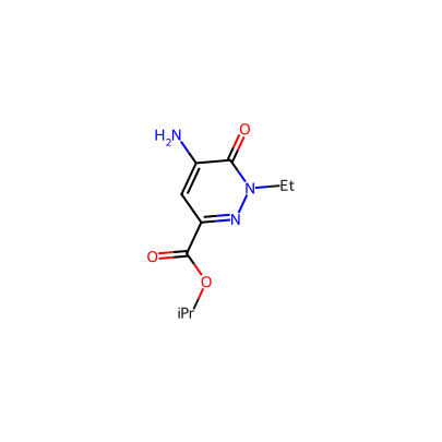 CCn1nc(C(=O)OC(C)C)cc(N)c1=O